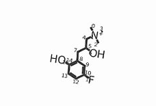 C[N+](C)(C)CC(O)Cc1cc(F)ccc1O